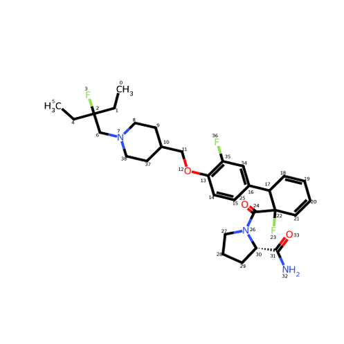 CCC(F)(CC)CN1CCC(COc2ccc(C3C=CC=CC3(F)C(=O)N3CCC[C@H]3C(N)=O)cc2F)CC1